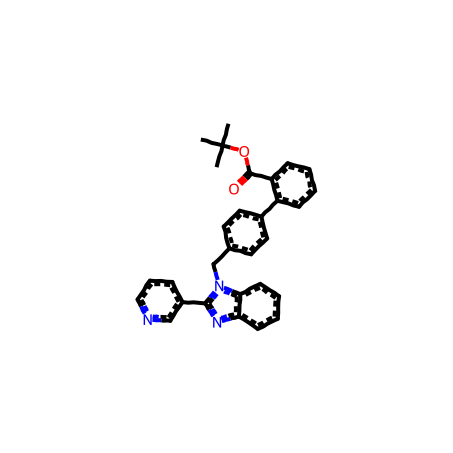 CC(C)(C)OC(=O)c1ccccc1-c1ccc(Cn2c(-c3cccnc3)nc3ccccc32)cc1